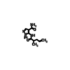 C=CCC(C)C(=O)Nc1c(C(N)=O)cnn1C(C)C